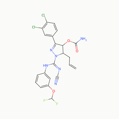 C=CCC1C(OC(N)=O)C(c2ccc(Cl)c(Cl)c2)=NN1C(=NC#N)Nc1cccc(OC(F)F)c1